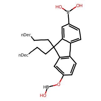 CCCCCCCCCCCCC1(CCCCCCCCCCCC)c2cc(OBO)ccc2-c2ccc(B(O)O)cc21